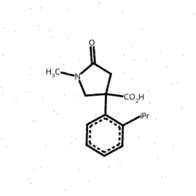 CC(C)c1ccccc1C1(C(=O)O)CC(=O)N(C)C1